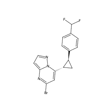 FC(F)c1ccc([C@H]2C[C@@H]2c2cc(Br)nc3ccnn23)cc1